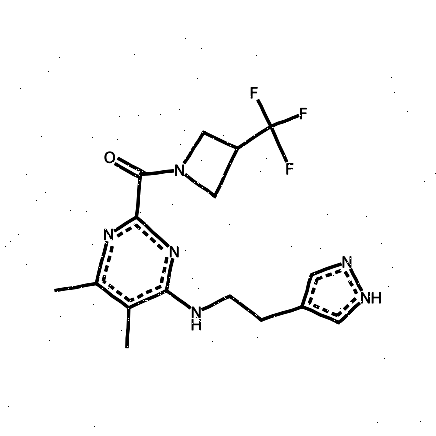 Cc1nc(C(=O)N2CC(C(F)(F)F)C2)nc(NCCc2cn[nH]c2)c1C